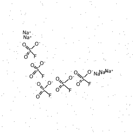 O=S(=O)([O-])F.O=S(=O)([O-])F.O=S(=O)([O-])F.O=S(=O)([O-])F.O=S(=O)([O-])F.[Na+].[Na+].[Na+].[Na+].[Na+]